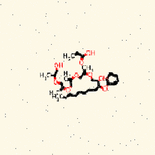 C=CC(=O)O.CCCCCCCCC(Oc1ccccc1)C(O)COC(C)COC(C)COC(C)COC(C)CO